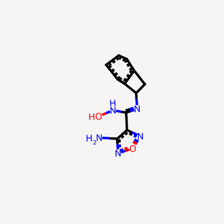 Nc1nonc1C(=NC1Cc2ccccc21)NO